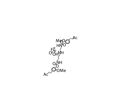 COc1cc(CCC(C)=O)ccc1OC(=O)NCCCCNCCCNC(=O)Oc1ccc(CCC(C)=O)cc1OC.O=C(O)C(F)(F)F